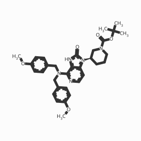 COc1ccc(CN(Cc2ccc(OC)cc2)c2nccc3c2[nH]c(=O)n3[C@@H]2CCCN(C(=O)OC(C)(C)C)C2)cc1